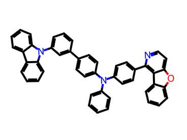 c1ccc(N(c2ccc(-c3cccc(-n4c5ccccc5c5ccccc54)c3)cc2)c2ccc(-c3nccc4oc5ccccc5c34)cc2)cc1